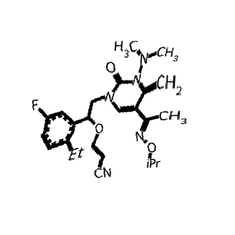 C=C1C(/C(C)=N/OC(C)C)=CN(CC(OCCC#N)c2cc(F)ccc2CC)C(=O)N1N(C)C